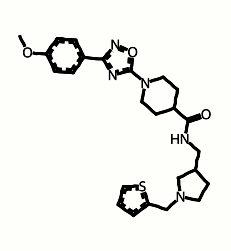 COc1ccc(-c2noc(N3CCC(C(=O)NCC4CCN(Cc5cccs5)C4)CC3)n2)cc1